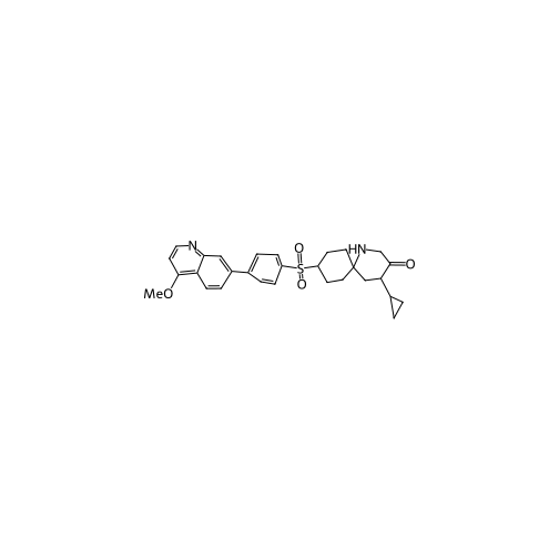 COc1ccnc2cc(-c3ccc(S(=O)(=O)C4CCC5(CC4)CC(C4CC4)C(=O)CN5)cc3)ccc12